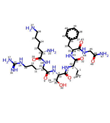 CC(C)C[C@H](NC(=O)[C@@H](NC(=O)[C@H](CCCNC(=N)N)NC(=O)[C@@H](N)CCCCN)[C@@H](C)O)C(=O)N[C@@H](Cc1ccccc1)C(=O)NCC(N)=O